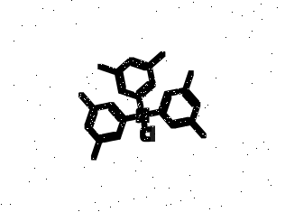 Cc1cc(C)cc([Si](Cl)(c2cc(C)cc(C)c2)c2cc(C)cc(C)c2)c1